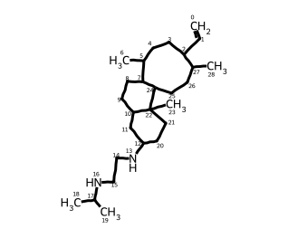 C=CC1CCC(C)C2CCC3CC(NCCNC(C)C)CCC3(C)C2CCC1C